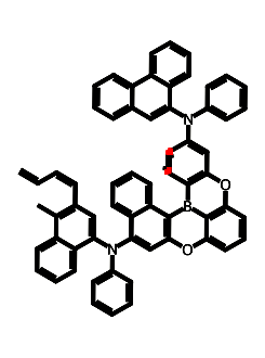 C=C/C=C\c1cc(N(c2ccccc2)c2cc3c(c4ccccc24)B2C4=C(C=C(N(c5ccccc5)c5cc6ccccc6c6ccccc56)C5C=CC=CC45)Oc4cccc(c42)O3)c2ccccc2c1C